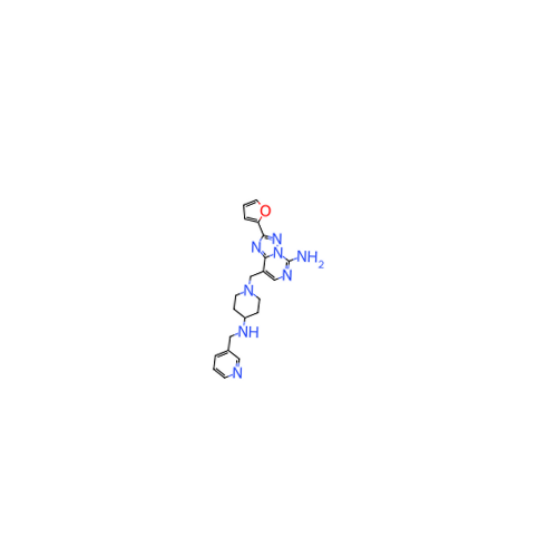 Nc1ncc(CN2CCC(NCc3cccnc3)CC2)c2nc(-c3ccco3)nn12